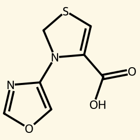 O=C(O)C1=CSCN1c1cocn1